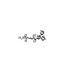 Cc1ccc(-c2cc(C(=O)NCCCCNC(N)=O)nn2-c2cccnc2)nc1